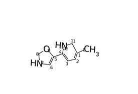 CC1=CC=C(C2=CNCO2)NC1